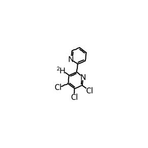 [2H]c1c(-c2ccccn2)nc(Cl)c(Cl)c1Cl